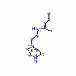 C=C/C=C(\C)NCCN1CC2CC1CN2